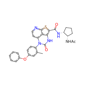 CC(=O)N[C@H]1CCC[C@H]1NC(=O)c1sc2nccc3c2c1NC(=O)N3c1ccc(Oc2ccccc2)cc1C